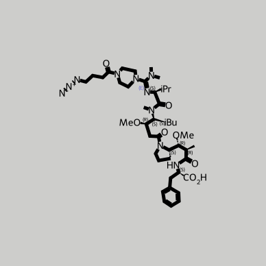 CC[C@H](C)[C@@H]([C@@H](CC(=O)N1CCC[C@H]1[C@H](OC)[C@@H](C)C(=O)N[C@@H](Cc1ccccc1)C(=O)O)OC)N(C)C(=O)[C@@H](/N=C(\N(C)C)N1CCN(C(=O)CCCN=[N+]=[N-])CC1)C(C)C